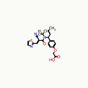 CCCC(c1ccc(OCC(=O)O)cc1)N(C(=O)/C(C#N)=C/c1nccs1)C(C)C